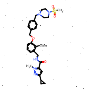 COc1c(CNC(=O)c2cc(C3CC3)nn2C)cccc1OCc1ccc(CN2CCN(S(C)(=O)=O)CC2)cc1